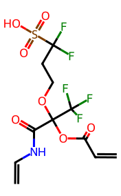 C=CNC(=O)C(OCCC(F)(F)S(=O)(=O)O)(OC(=O)C=C)C(F)(F)F